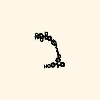 C/C(=C(\c1ccc(O)cc1)c1ccc(OCCCCCCN2CCN(c3ccc4c(c3)CN([C@H]3CCC(=O)NC3=O)C4=O)CC2)cc1)c1ccccc1